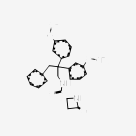 O=C1C[C@H](C(=O)NCC(Cc2ccccc2)(c2cccc(OC(F)(F)F)c2)c2cccc(OC(F)(F)F)c2)N1